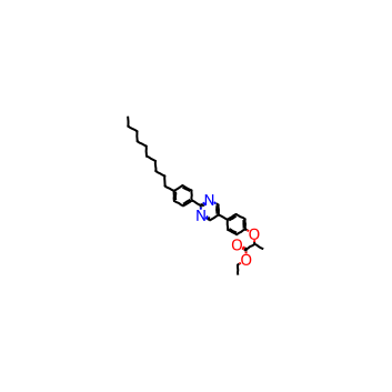 CCCCCCCCCCc1ccc(-c2ncc(-c3ccc(OC(C)C(=O)OCC)cc3)cn2)cc1